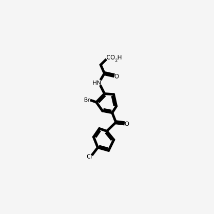 O=C(O)CC(=O)Nc1ccc(C(=O)c2ccc(Cl)cc2)cc1Br